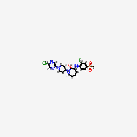 CS(=O)(=O)c1ccc(N[C@H]2CCCCN(C3CCN(c4cnc(Cl)cn4)CC3)C2=O)c(F)c1